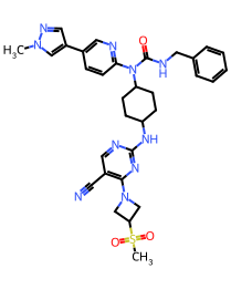 Cn1cc(-c2ccc(N(C(=O)NCc3ccccc3)C3CCC(Nc4ncc(C#N)c(N5CC(S(C)(=O)=O)C5)n4)CC3)nc2)cn1